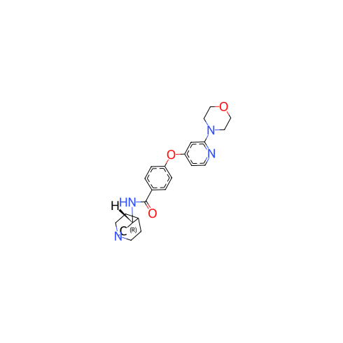 O=C(N[C@H]1CN2CCC1CC2)c1ccc(Oc2ccnc(N3CCOCC3)c2)cc1